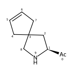 CC(=O)[C@@H]1CC2(CC=CC2)CN1